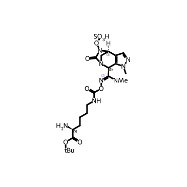 CN/C(=N\OC(=O)NCCCC[C@H](N)C(=O)OC(C)(C)C)[C@@H]1c2c(cnn2C)[C@H]2CN1C(=O)N2OS(=O)(=O)O